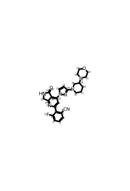 N#Cc1cccc(F)c1-c1cc(-n2ccc(N3CCCC(N4CCOCC4)C3)n2)c2c(n1)CNC2=O